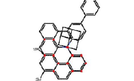 CC(C)(C)c1cc(-c2ccccc2N(c2ccc(-c3ccccc3)cc2-c2ccccc2)c2ccccc2-c2cccc3cccc(C45CC6CC7CC(C4)C765)c23)cc(C(C)(C)C)c1